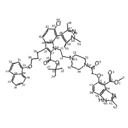 COC(=O)c1c(OCC(=O)N2CCN(CCn3c(C(=O)OC(C)(C)C)c(CCCOc4cccc5ccccc45)c4ccc(Cl)c(-c5c(C)nn(C)c5C)c43)CC2)ccc2[nH]c(C)nc12